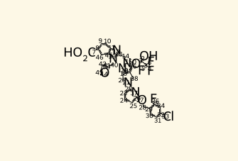 O=C(O)C(F)(F)F.O=C(O)c1ccc2nc(Cn3cc4c(n3)CN(c3cccc(OCc5ccc(Cl)cc5F)n3)C4)n(C[C@@H]3CCO3)c2c1